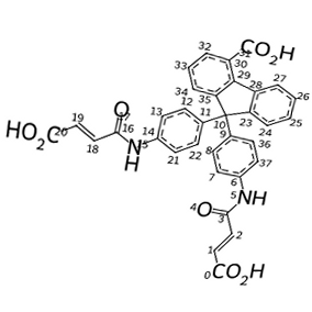 O=C(O)/C=C/C(=O)Nc1ccc(C2(c3ccc(NC(=O)/C=C/C(=O)O)cc3)c3ccccc3-c3c(C(=O)O)cccc32)cc1